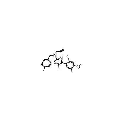 C#CCN(Cc1ccc(C)cc1)c1nc(-c2cc(C)c(OC)cc2Cl)c(C)s1